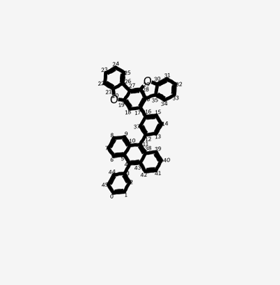 c1ccc(-c2c3ccccc3c(-c3cccc(-c4cc5oc6ccccc6c5c5oc6ccccc6c45)c3)c3ccccc23)cc1